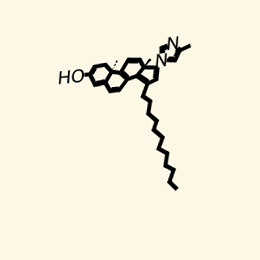 CCCCCCCCCCCCC1=C2C3=C(C=C[C@]2(C)C(n2cnc(C)c2)=C1)[C@]1(C)CC=C(O)C=C1C=C3